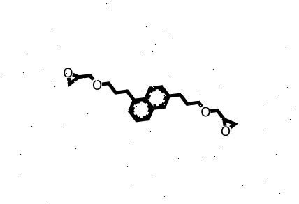 c1cc(CCCOCC2CO2)c2ccc(CCCOCC3CO3)cc2c1